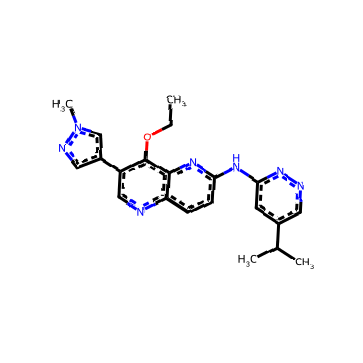 CCOc1c(-c2cnn(C)c2)cnc2ccc(Nc3cc(C(C)C)cnn3)nc12